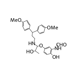 COc1ccc(C(CCNC(Oc2ccc(O)c(NC=O)c2)C(C)O)c2ccc(OC)cc2)cc1